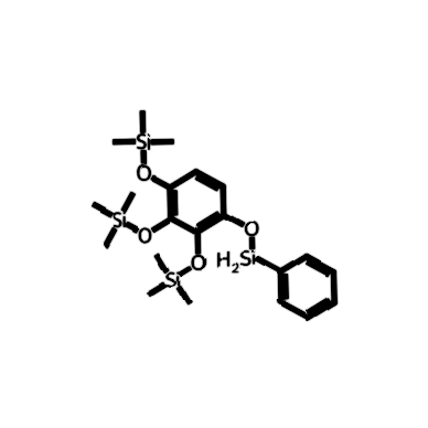 C[Si](C)(C)Oc1ccc(O[SiH2]c2ccccc2)c(O[Si](C)(C)C)c1O[Si](C)(C)C